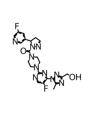 Cc1nc(CO)nn1-c1nc(N2CCN(C(=O)N3N=CCC3c3cncc(F)c3)CC2)ncc1F